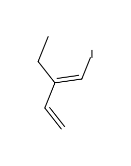 C=CC(=CI)CC